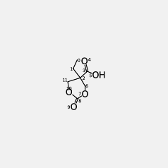 CCC1(C(=O)O)COC(=O)OC1